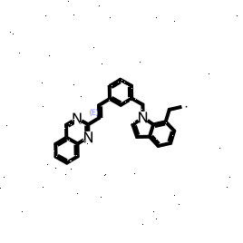 [CH2]Cc1cccc2ccn(Cc3cccc(/C=C/c4ncc5ccccc5n4)c3)c12